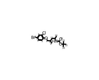 CC(COc1ccc(Br)cc1Cl)CC(C)NC(=O)OC(C)(C)C